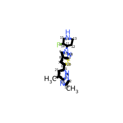 Cc1cn2nc(-c3cc4cn(C5CCNCC5F)nc4s3)cc(C)c2n1